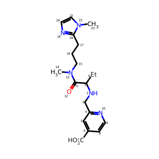 CCC(NCc1cc(C(=O)O)ccn1)C(=O)N(C)CCCc1nccn1C